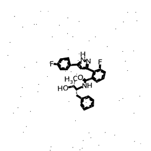 C[C@@H](O)[C@@H](Cc1ccccc1)NC(=O)c1cccc(F)c1-c1cc(-c2ccc(F)cc2)[nH]n1